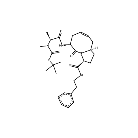 C[C@@H](C(=O)N[C@H]1C/C=C\C[C@H]2CC[C@@H](C(=O)NCCc3ccccc3)N2C1=O)N(C)C(=O)OC(C)(C)C